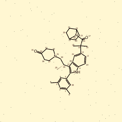 Cc1cc(C)cc(-c2[nH]c3ccc(C(C)(C)C(=O)N4C5CCC4CC5)cc3c2[C@H](C)CN2CCC(=O)CC2)c1